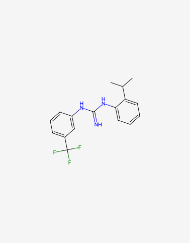 CC(C)c1ccccc1NC(=N)Nc1cccc(C(F)(F)F)c1